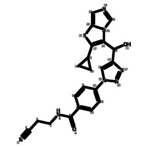 N#CCCNC(=O)c1ccc(-n2cc(C(O)c3c(C4CC4)sc4cncn34)nn2)cc1